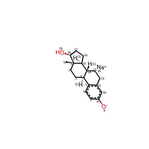 C[C@]12CC[C@@H]3c4ccc([O-])cc4CC[C@H]3[C@@H]1CC[C@@H]2O.[Na+]